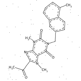 CC(=O)c1nc2c(c(=O)n(Cc3ccc4c(C)cccc4c3)c(=O)n2C)n1C